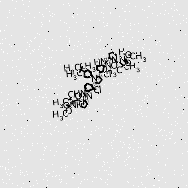 COC(=O)NC(C(=O)N1CCC[C@H]1c1nc2c(Cl)c([C@@H]3CC[C@H](c4ccc5[nH]c([C@@H]6CCCN6C(=O)[C@@H](NC(=O)OC)C(C)C)nc5c4Cl)N3c3ccc(C(C)(C)C)cc3)ccc2[nH]1)C(C)C